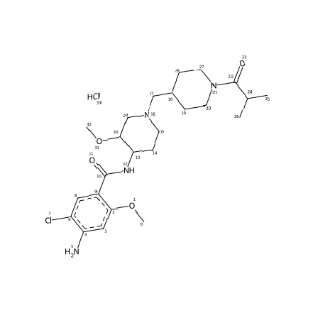 COc1cc(N)c(Cl)cc1C(=O)NC1CCN(CC2CCN(C(=O)C(C)C)CC2)CC1OC.Cl